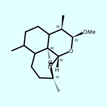 CO[C@H]1O[C@@H]2O[C@]3(C)CCC4C(C)CCC([C@H]1C)[C@]42OO3